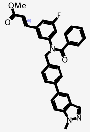 COC(=O)/C=C/c1cc(F)cc(N(Cc2ccc(-c3ccc4c(cnn4C)c3)cc2)C(=O)c2ccccc2)c1